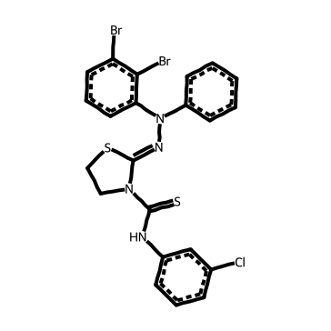 S=C(Nc1cccc(Cl)c1)N1CCSC1=NN(c1ccccc1)c1cccc(Br)c1Br